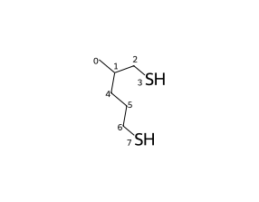 CC(CS)CCCS